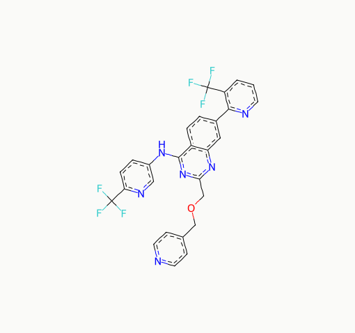 FC(F)(F)c1ccc(Nc2nc(COCc3ccncc3)nc3cc(-c4ncccc4C(F)(F)F)ccc23)cn1